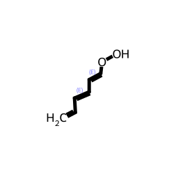 C=C/C=C/C=C/OO